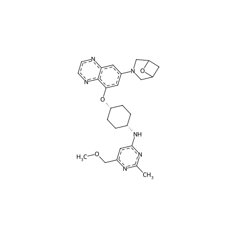 COCc1cc(N[C@H]2CC[C@@H](Oc3cc(N4CC5CC(C4)O5)cc4nccnc34)CC2)nc(C)n1